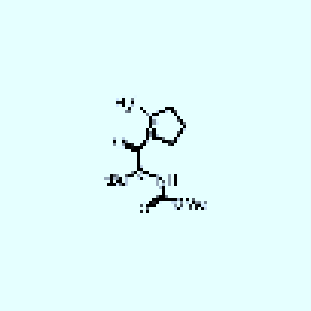 COC(=O)N[C@H](C(=O)N1CCC[C@H]1C)C(C)(C)C